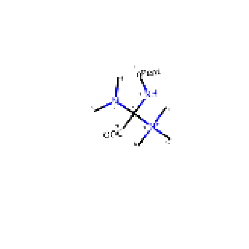 CCCCCNC(C(=O)[O-])(N(C)C)[N+](C)(C)C